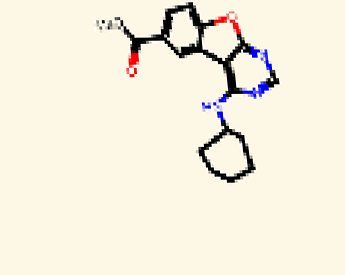 COC(=O)c1ccc2oc3ncnc(NC4CCCCC4)c3c2c1